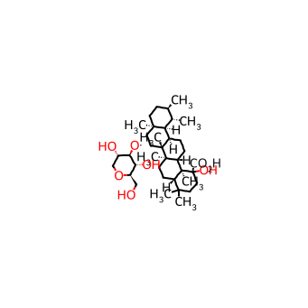 C[C@@H]1[C@H]2[C@H]3CC[C@@H]4[C@]5(C)[C@@H](CC[C@@]4(C)[C@]3(C)CC[C@@]2(C)CC[C@H]1C)C(C)(C)CCC5(O)C(=O)O.[O][C@H]1[C@H](O)[C@@H](CO)OC[C@@H]1O